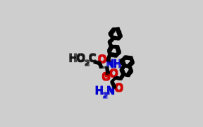 NC(=O)C[C@H](Cc1ccc2ccccc2c1)OC(=O)[C@H](CCCC(=O)O)NC(=O)c1cccc(Cc2ccccc2)c1